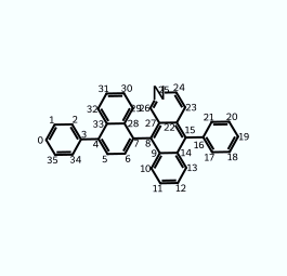 c1ccc(-c2ccc(-c3c4ccccc4c(-c4ccccc4)c4ccncc34)c3ccccc23)cc1